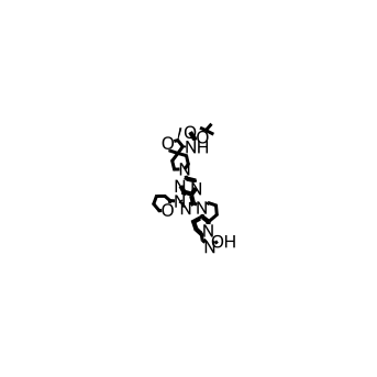 C[C@@H]1OCC2(CCN(c3cnc4c(N5CCCc6nc(/C=N\O)ccc65)nn(C5CCCCO5)c4n3)CC2)[C@@H]1NC(=O)OC(C)(C)C